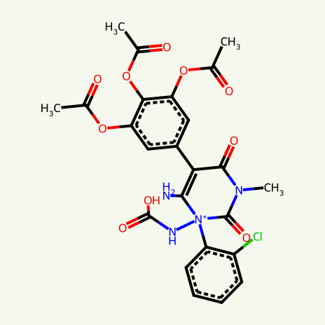 CC(=O)Oc1cc(C2=C(N)[N+](NC(=O)O)(c3ccccc3Cl)C(=O)N(C)C2=O)cc(OC(C)=O)c1OC(C)=O